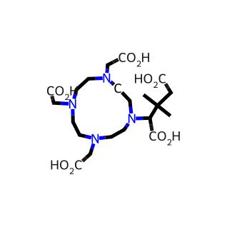 CC(C)(CC(=O)O)C(C(=O)O)N1CCN(CC(=O)O)CCN(CC(=O)O)CCN(CC(=O)O)CC1